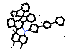 CC1C=CC2(C)C3=C1C(C)C=CC3(C)N(c1ccc(-c3ccc(-c4ccccc4)cc3)cc1)c1c3c(c4ccccc4c12)C1(c2ccccc2-c2ccccc21)c1ccccc1-3